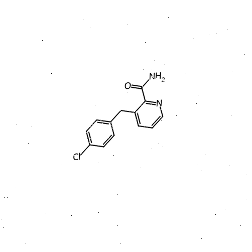 NC(=O)c1ncccc1Cc1ccc(Cl)cc1